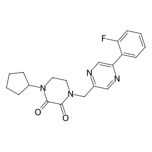 O=C1C(=O)N(C2CCCC2)CCN1Cc1cnc(-c2ccccc2F)cn1